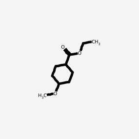 CCOC(=O)C1CCC(OC)CC1